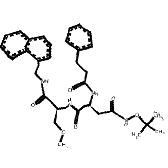 COC[C@H](NC(=O)[C@H](CC(=O)NOC(C)(C)C)NC(=O)CCc1ccccc1)C(=O)NCc1cccc2ccccc12